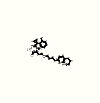 Cc1ccccc1C1(C(=O)NC(CCOCCCCc2ccc3c(n2)NCCC3)C(=O)O)CC1